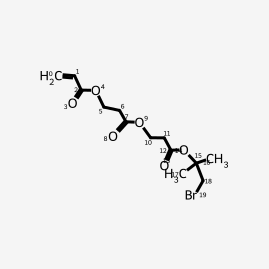 C=CC(=O)OCCC(=O)OCCC(=O)OC(C)(C)CBr